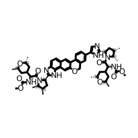 COC(=O)N[C@H](C(=O)N1[C@@H](c2nc3ccc4cc5c(cc4c3[nH]2)OCc2cc(-c3cnc([C@@H]4C[C@H](C)[C@H](C)N4C(=O)[C@@H](NC(=O)OC)C4C[C@@H](C)O[C@H](C)C4)[nH]3)ccc2-5)C[C@@H](C)[C@H]1C)C1C[C@@H](C)O[C@H](C)C1